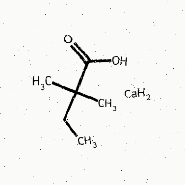 CCC(C)(C)C(=O)O.[CaH2]